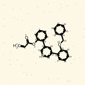 C=CC(=O)Oc1ccccc1-c1cncc(-c2ccccc2OCc2ccccc2)c1